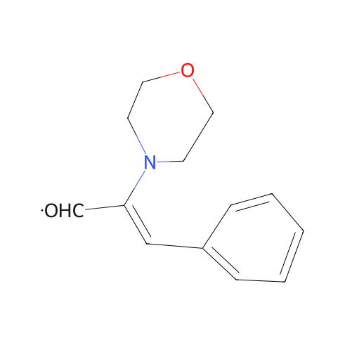 O=[C]C(=Cc1ccccc1)N1CCOCC1